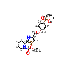 CC(C)(C)OC(=O)N1CCCCC1c1nc(COc2ccc(S(=O)(=O)C(F)(F)F)cc2)cs1